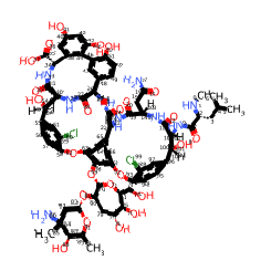 CN[C@H](CC(C)C)C(=O)N[C@H]1C(=O)N[C@@H](CC(N)=O)C(=O)N[C@H]2C(=O)N[C@H]3C(=O)N[C@H](C(=O)N[C@H](C(=O)O)c4cc(O)cc(O)c4-c4cc3ccc4O)[C@H](O)c3ccc(c(Cl)c3)Oc3cc2cc(c3O[C@H]2OC(CO)C(O)[C@H](O)CC2O[C@H]2CC(C)(N)[C@H](O)C(C)O2)Oc2ccc(cc2Cl)[C@H]1O